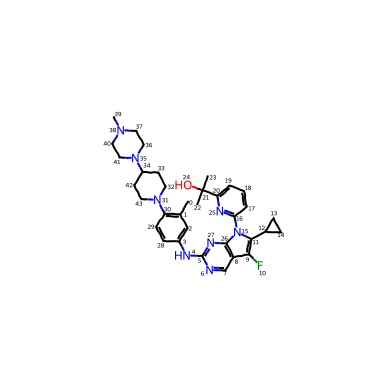 Cc1cc(Nc2ncc3c(F)c(C4CC4)n(-c4cccc(C(C)(C)O)n4)c3n2)ccc1N1CCC(N2CCN(C)CC2)CC1